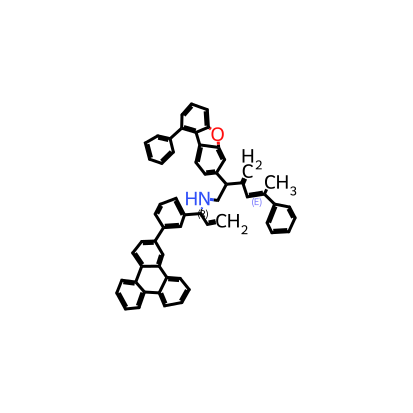 C=C[C@@H](NCC(C(=C)/C=C(\C)c1ccccc1)c1ccc2c(c1)oc1cccc(-c3ccccc3)c12)c1cccc(-c2ccc3c4ccccc4c4ccccc4c3c2)c1